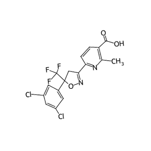 Cc1nc(C2=NOC(c3cc(Cl)cc(Cl)c3)(C(F)(F)F)C2)ccc1C(=O)O